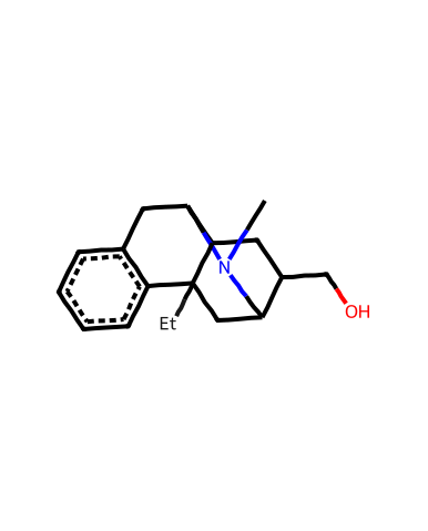 CCC12CC3C(CO)CC1C(Cc1ccccc12)N3C